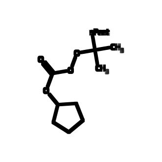 CCCCCC(C)(C)OOC(=O)OC1CCCC1